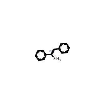 [SiH3]/C(=C\c1ccccc1)c1ccccc1